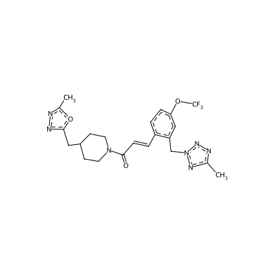 Cc1nnn(Cc2cc(OC(F)(F)F)ccc2/C=C/C(=O)N2CCC(Cc3nnc(C)o3)CC2)n1